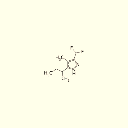 CCC(C)c1[nH]nc(C(F)F)c1C